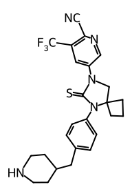 N#Cc1ncc(N2CC3(CCC3)N(c3ccc(CC4CCNCC4)cc3)C2=S)cc1C(F)(F)F